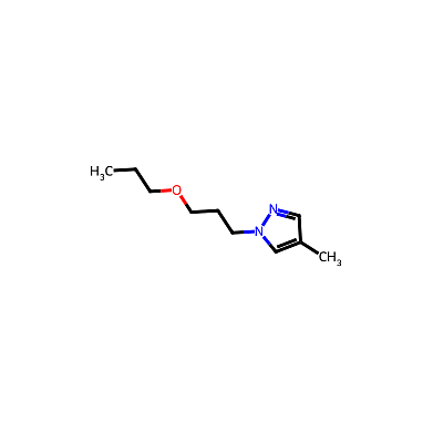 CCCOCCCn1cc(C)cn1